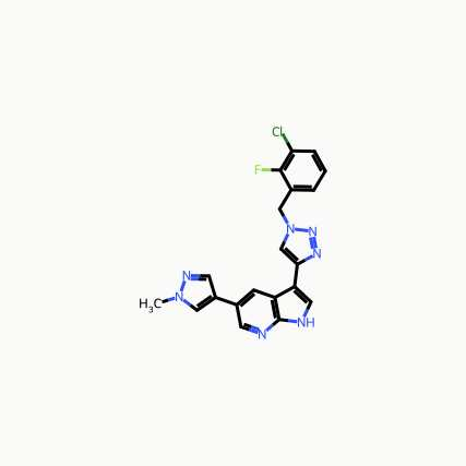 Cn1cc(-c2cnc3[nH]cc(-c4cn(Cc5cccc(Cl)c5F)nn4)c3c2)cn1